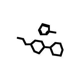 CCCC1CCC(C2CCCCC2)CC1.Cc1ccccc1